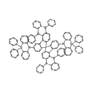 c1ccc(B2c3ccccc3B(c3ccccc3)c3c2ccc2c3-c3cc(N4c5ccccc5[Si](c5ccccc5)(c5ccccc5)c5ccccc54)ccc3C23c2ccc(N4c5ccccc5[Si](c5ccccc5)(c5ccccc5)c5ccccc54)cc2-c2c3ccc3c2B(c2ccccc2)c2ccccc2B3c2ccccc2)cc1